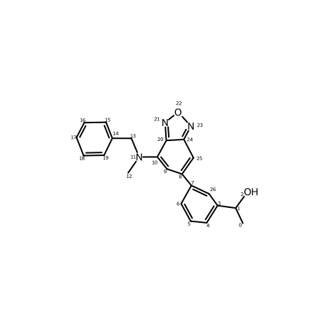 CC(O)c1cccc(-c2cc(N(C)Cc3ccccc3)c3nonc3c2)c1